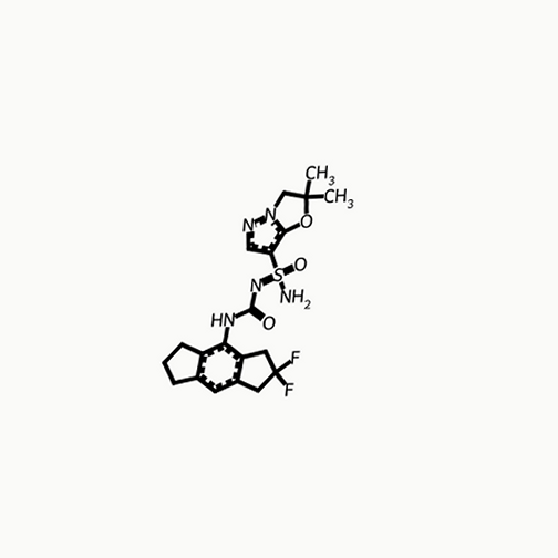 CC1(C)Cn2ncc(S(N)(=O)=NC(=O)Nc3c4c(cc5c3CC(F)(F)C5)CCC4)c2O1